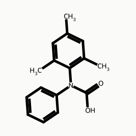 Cc1cc(C)c(N(C(=O)O)c2ccccc2)c(C)c1